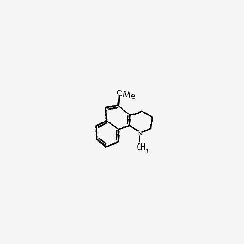 COc1cc2ccccc2c2c1CCCN2C